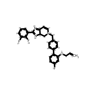 C=CCOc1cc(F)ccc1-c1ccc(CN2C=CC3=NC(c4cccc(F)c4F)=NC3C2)cc1